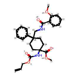 C=CCOC(=O)NC1(C(=O)OC)CCC(CNC(=O)c2ccccc2OC)(c2ccccc2)CC1